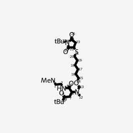 CNCCNC(=O)C(CC(=O)C(C)(C)C)N(C)COCCCCCCSC1CC(=O)N(C(C)(C)C)C1=O